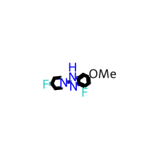 COc1cc(F)c2nc(N3CCC(F)CC3)[nH]c2c1